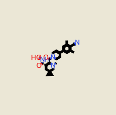 Cc1cc(C2=CCN(C(=O)[C@@H]3[C@@H](C(=O)NO)CC4(CC4)CN3C)CC2)cc(C)c1C#N